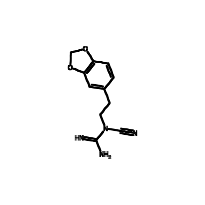 N#CN(CCc1ccc2c(c1)OCO2)C(=N)N